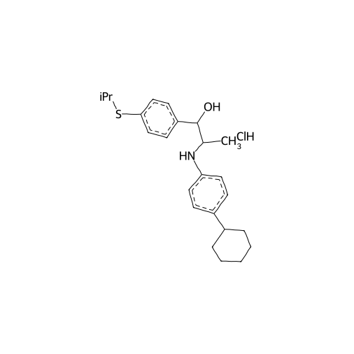 CC(C)Sc1ccc(C(O)C(C)Nc2ccc(C3CCCCC3)cc2)cc1.Cl